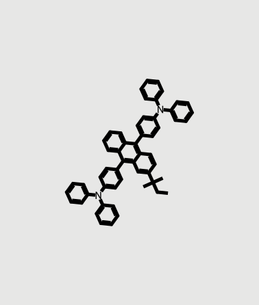 CCC(C)(C)c1ccc2c(-c3ccc(N(c4ccccc4)c4ccccc4)cc3)c3ccccc3c(-c3ccc(N(c4ccccc4)c4ccccc4)cc3)c2c1